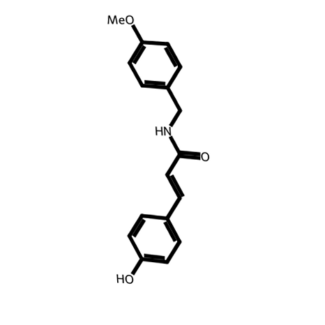 COc1ccc(CNC(=O)/C=C/c2ccc(O)cc2)cc1